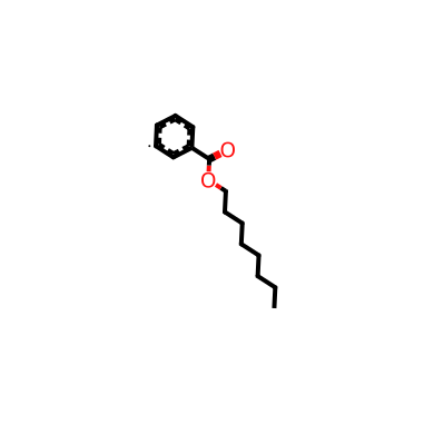 CCCCCCCCOC(=O)c1c[c]ccc1